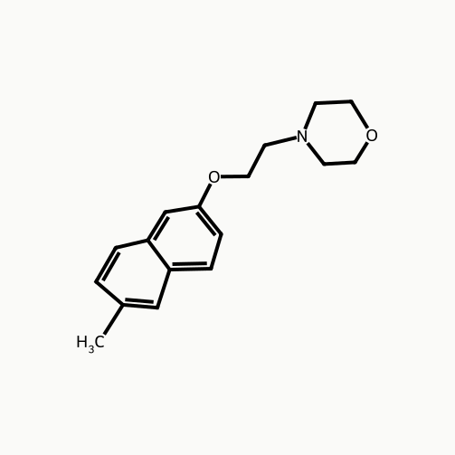 Cc1ccc2cc(OCCN3CCOCC3)ccc2c1